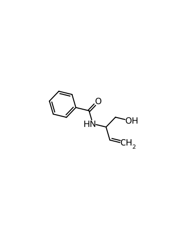 C=CC(CO)NC(=O)c1ccccc1